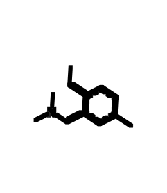 CC=c1ccc(C)c/c1=C/N(C)C